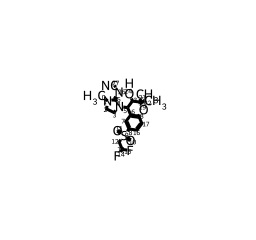 CN1CCN(C2c3cc(S(=O)(=O)CC(F)F)ccc3OC(C)(C)C2O)C1=NC#N